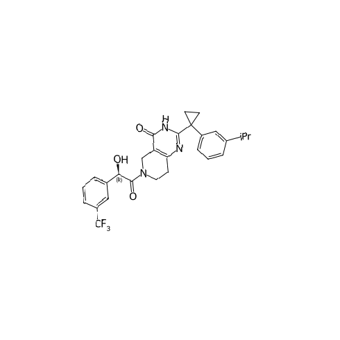 CC(C)c1cccc(C2(c3nc4c(c(=O)[nH]3)CN(C(=O)[C@H](O)c3cccc(C(F)(F)F)c3)CC4)CC2)c1